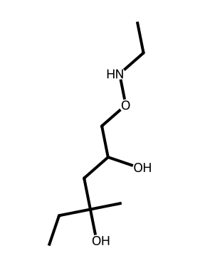 CCNOCC(O)CC(C)(O)CC